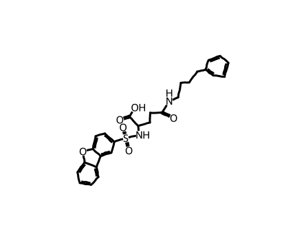 O=C(CCC(NS(=O)(=O)c1ccc2oc3ccccc3c2c1)C(=O)O)NCCCCc1ccccc1